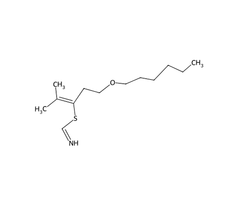 CCCCCCOCCC(SC=N)=C(C)C